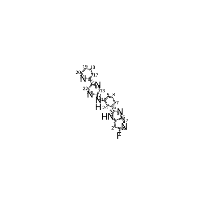 Fc1cc2[nH]c(-c3cccc(Nc4cnc(-c5ccccn5)cn4)c3)nc2cn1